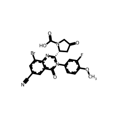 COc1ccc(-n2c([C@H]3CC(=O)CN3C(=O)O)nc3c(Br)cc(C#N)cc3c2=O)cc1F